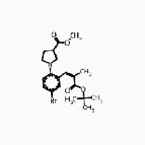 COC(=O)C1CCN(c2ccc(Br)cc2C=C(C)C(=O)OC(C)(C)C)C1